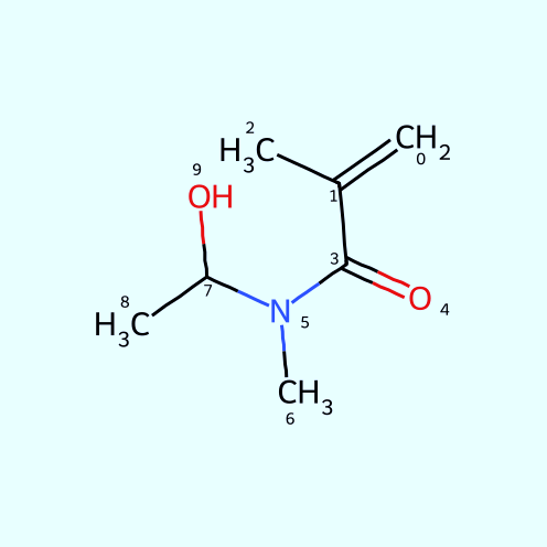 C=C(C)C(=O)N(C)C(C)O